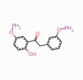 O=C(Cc1cccc(OP)c1)c1cc(OP)ccc1O